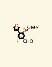 COCOc1cc(C=O)c(F)cc1-c1ccoc1